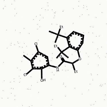 CCC(Oc1cccc(C(C)(C)CC)c1C(C)(C)CC)C(=O)Nc1cc(Cl)c(C)c(Cl)c1O